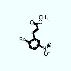 COC(=O)C=Cc1cc([N+](=O)[O-])ccc1Br